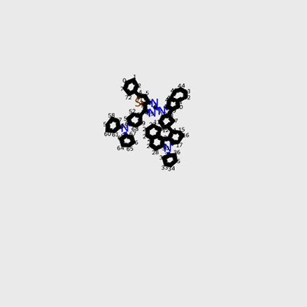 c1ccc(-c2cc3nc(-n4c5ccc(-c6cccc7c6c6c8ccccc8ccc6n7-c6ccccc6)cc5c5cc6ccccc6cc54)nc(-c4ccc(N(c5ccccc5)c5ccccc5)cc4)c3s2)cc1